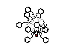 CCCC(=O)OC12CCCOC1C(OP(=O)(OCc1ccccc1)OCc1ccccc1)C(OP(=O)(OCc1ccccc1)OCc1ccccc1)C(OP(=O)(OCc1ccccc1)OCc1ccccc1)C2OP(=O)(OCc1ccccc1)OCc1ccccc1